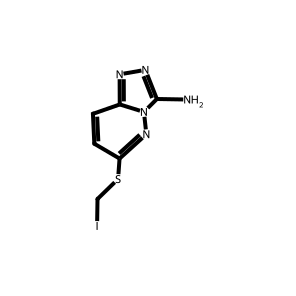 Nc1nnc2ccc(SCI)nn12